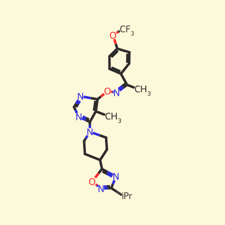 CC(=NOc1ncnc(N2CCC(c3nc(C(C)C)no3)CC2)c1C)c1ccc(OC(F)(F)F)cc1